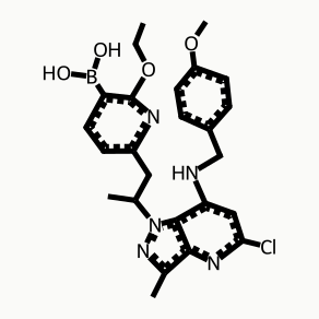 CCOc1nc(CC(C)n2nc(C)c3nc(Cl)cc(NCc4ccc(OC)cc4)c32)ccc1B(O)O